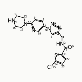 O=C(NCc1cn(-c2ccc(N3CCNCC3)nc2)nn1)c1ccc(Cl)s1